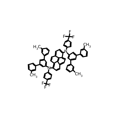 Cc1cccc(-c2cc(-c3cccc(C)c3)cc(N(c3ccc(C(F)(F)F)cc3)c3ccc4ccc5c(N(c6ccc(C(F)(F)F)cc6)c6cc(-c7cccc(C)c7)cc(-c7cccc(C)c7)c6)ccc6ccc3c4c65)c2)c1